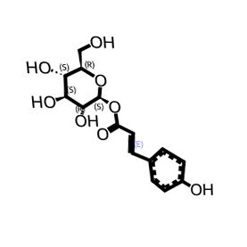 O=C(/C=C/c1ccc(O)cc1)O[C@@H]1O[C@H](CO)[C@@H](O)[C@H](O)[C@H]1O